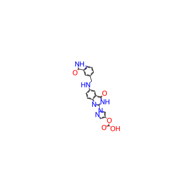 NC(=O)c1cccc(CNc2ccc3nc(-n4cc(OC(=O)O)cn4)[nH]c(=O)c3c2)c1